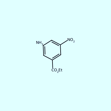 CCOC(=O)c1cccc([N+](=O)[O-])c1.N